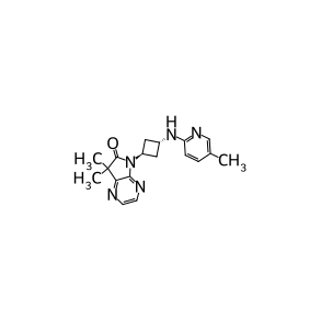 Cc1ccc(N[C@H]2C[C@H](N3C(=O)C(C)(C)c4nccnc43)C2)nc1